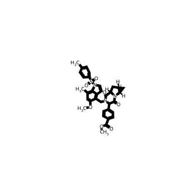 COC(=O)c1ccc(C2C(=O)N3[C@@H](C[C@@H]4C[C@@H]43)C(=O)N2Cc2c(OC)cc(C)c3c2ccn3S(=O)(=O)c2ccc(C)cc2)cc1